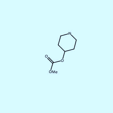 COC(=O)OC1CC[N]CC1